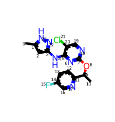 Cc1cc(Nc2nc(OC(C)c3ccc(F)cn3)ncc2Cl)n[nH]1